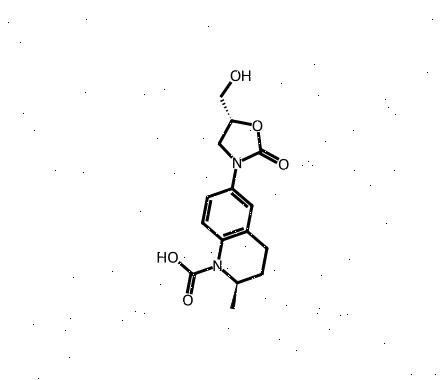 C[C@@H]1CCc2cc(N3C[C@H](CO)OC3=O)ccc2N1C(=O)O